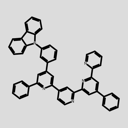 c1ccc(-c2cc(-c3ccccn3)nc(-c3cc(-c4cc(-c5cccc(-n6c7ccccc7c7ccccc76)c5)cc(-c5ccccc5)n4)ccn3)c2)cc1